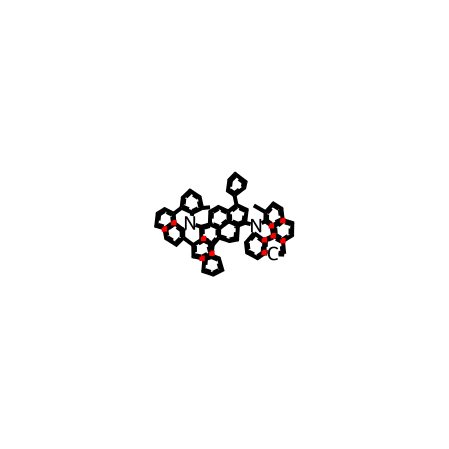 Cc1cccc(-c2ccccc2)c1N(c1ccccc1-c1ccccc1)c1cc(-c2ccccc2)c2ccc3c(N(c4ccccc4-c4ccccc4)c4c(C)cccc4-c4ccccc4)cc(-c4ccccc4)c4ccc1c2c43